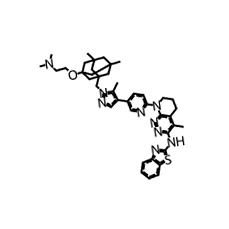 Cc1c(Nc2nc3ccccc3s2)nnc2c1CCCN2c1ccc(-c2cnn(CC34CC5(C)CC(C)(C3)CC(OCCN(C)C)(C5)C4)c2C)cn1